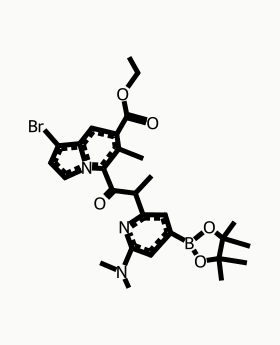 CCOC(=O)c1cc2c(Br)ccn2c(C(=O)C(C)c2cc(B3OC(C)(C)C(C)(C)O3)cc(N(C)C)n2)c1C